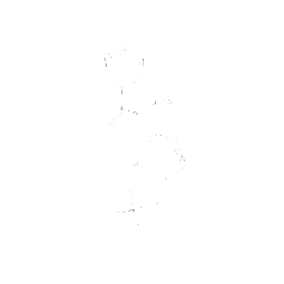 CC(C)(C[C@H]1C=C[C@@H](N2C(=O)c3ccccc3C2=O)C1)C(=O)O